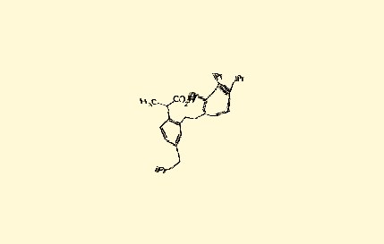 CC(C)Cc1ccc(C(C)C(=O)O)c(CCc2ccc(C(C)C)c(C(C)C)c2C(C)C)c1